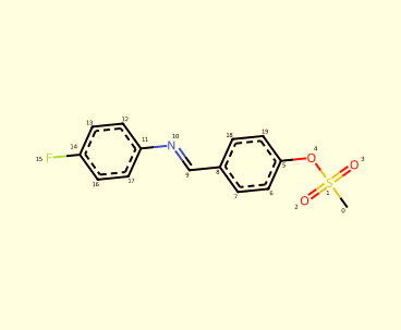 CS(=O)(=O)Oc1ccc(C=Nc2ccc(F)cc2)cc1